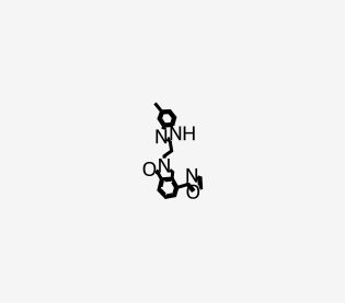 Cc1ccc2[nH]c(CCN3Cc4c(cccc4-c4ncco4)C3=O)nc2c1